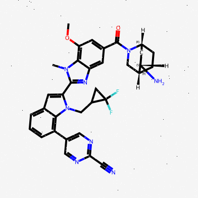 COc1cc(C(=O)N2C[C@H]3CC[C@@H]2C[C@@H]3N)cc2nc(-c3cc4cccc(-c5cnc(C#N)nc5)c4n3CC3CC3(F)F)n(C)c12